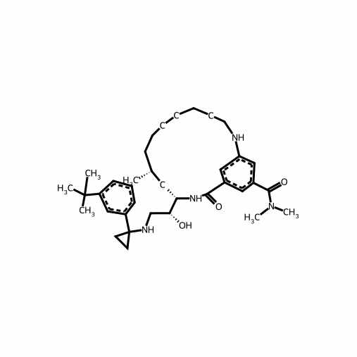 C[C@@H]1CCCCCCCNc2cc(cc(C(=O)N(C)C)c2)C(=O)N[C@H]([C@H](O)CNC2(c3cccc(C(C)(C)C)c3)CC2)C1